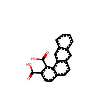 O=C(O)c1ccc2ccc3cc4ccccc4cc3c2c1C(=O)O